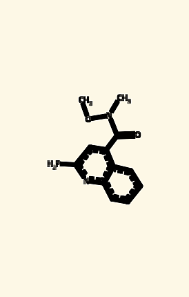 CON(C)C(=O)c1cc(P)nc2ccccc12